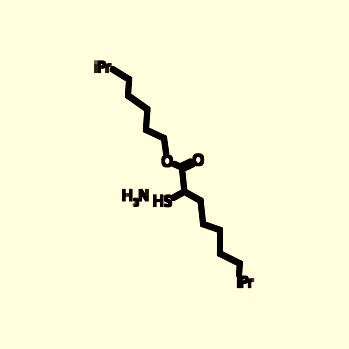 CC(C)CCCCCOC(=O)C(S)CCCCCC(C)C.N